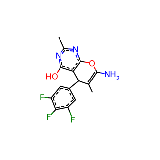 CC1=C(N)Oc2nc(C)nc(O)c2C1c1cc(F)c(F)c(F)c1